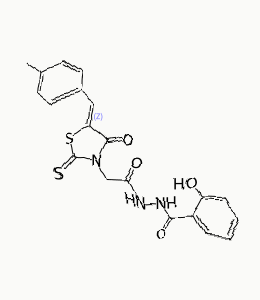 Cc1ccc(/C=C2\SC(=S)N(CC(=O)NNC(=O)c3ccccc3O)C2=O)cc1